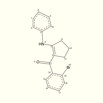 O=C(C1=C(Nc2ccccc2)CCC1)c1ccccc1Br